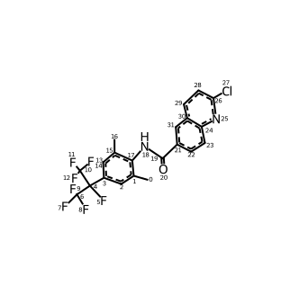 Cc1cc(C(F)(C(F)(F)F)C(F)(F)F)cc(C)c1NC(=O)c1ccc2nc(Cl)ccc2c1